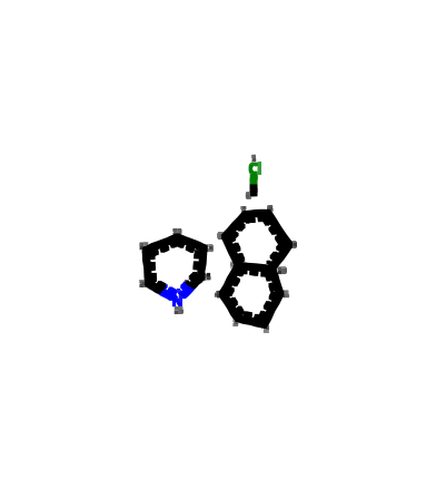 CCl.c1ccc2ccccc2c1.c1ccncc1